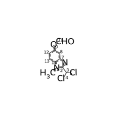 Cn1c(C(Cl)Cl)nc2cc(OC=O)ccc21